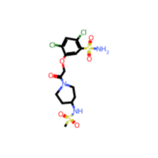 CS(=O)(=O)NC1CCN(C(=O)COc2cc(S(N)(=O)=O)c(Cl)cc2Cl)CC1